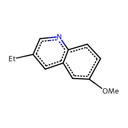 CCc1cnc2ccc(OC)cc2c1